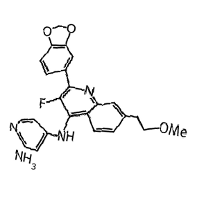 COCCc1ccc2c(Nc3ccncc3)c(F)c(-c3ccc4c(c3)OCO4)nc2c1.N